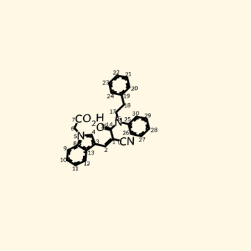 N#CC(=Cc1cn(CC(=O)O)c2ccccc12)C(=O)N(CCc1ccccc1)c1ccccc1